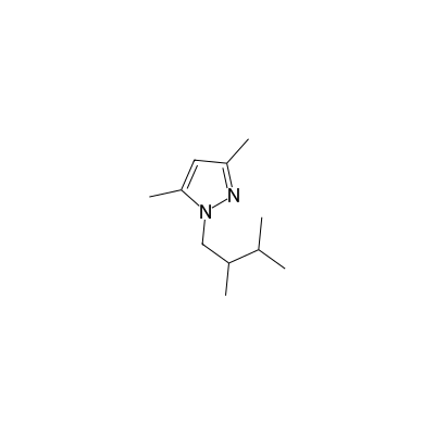 Cc1cc(C)n(CC(C)C(C)C)n1